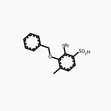 CCCc1c(S(=O)(=O)O)ccc(C)c1OCc1ccccc1